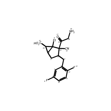 CCC12C(CC(Cc3cc(F)ccc3F)C1(C#N)C(=O)CN)C2C(=O)O